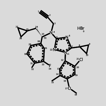 Br.C#CCN(c1nc(C2CC2)n(-c2cc(C)c(OC)cc2Cl)n1)[C@@H](CC1CC1)c1ccc(C)c(F)c1